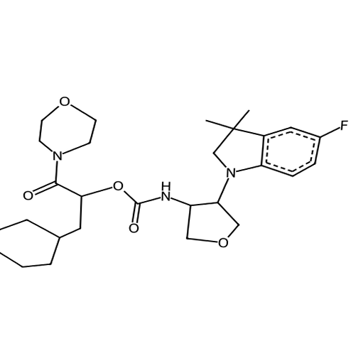 CC1(C)CN(C2COCC2NC(=O)OC(CC2CCCCC2)C(=O)N2CCOCC2)c2ccc(F)cc21